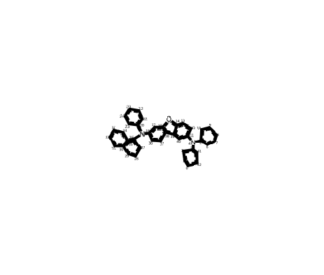 c1ccc(N(c2ccccc2)c2ccc3oc4cc(N(c5ccccc5)c5cccc6ccccc56)ccc4c3c2)cc1